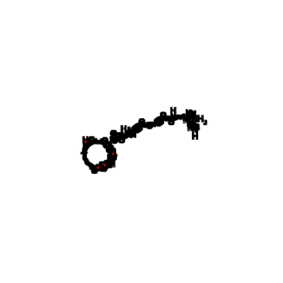 CO[C@H]1C[C@@H]2CCC[C@@](O)(O2)C(=O)C(=O)N2CCCC[C@H]2C(=O)O[C@H]([C@H](C)C[C@@H]2CC[C@@H](OC(=O)NCc3cnc(N4CCN(C(=O)CCOCCN5CCN(C(=O)CCC(=O)NCCCCn6nc(-c7cnc8[nH]ccc8c7)c7c(N)ncnc76)CC5)CC4)nc3)[C@H](OC)C2)CC(=O)[C@H](C)/C=C(\C)[C@@H](O)[C@@H](OC)C(=O)[C@H](C)C[C@H](C)/C=C/C=C/C=C/1C